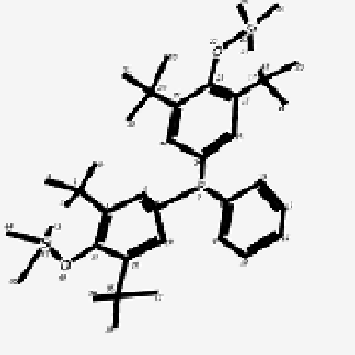 CC(C)(C)c1cc(P(c2ccccc2)c2cc(C(C)(C)C)c(O[Si](C)(C)C)c(C(C)(C)C)c2)cc(C(C)(C)C)c1O[Si](C)(C)C